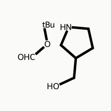 CC(C)(C)OC=O.OCC1CCNC1